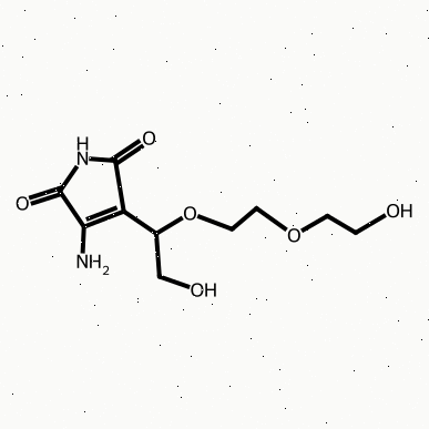 NC1=C(C(CO)OCCOCCO)C(=O)NC1=O